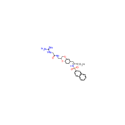 N=C(N)NCC(=O)NCC1COc2cc(C[C@H](NS(=O)(=O)c3ccc4ccccc4c3)C(=O)O)ccc2O1